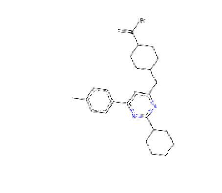 C=C(C(C)C)C1CCC(Cc2cc(-c3ccc(C)cc3)nc(C3CCCCC3)n2)CC1